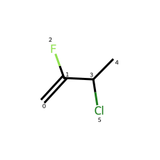 C=C(F)C(C)Cl